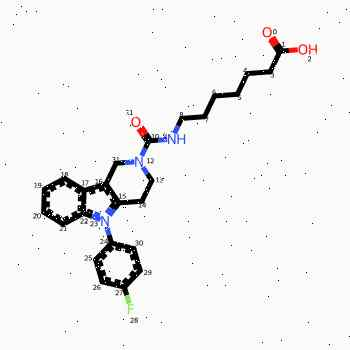 O=C(O)CCCCCCNC(=O)N1CCc2c(c3ccccc3n2-c2ccc(F)cc2)C1